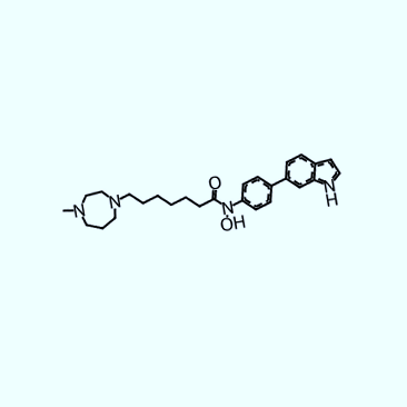 CN1CCCN(CCCCCCC(=O)N(O)c2ccc(-c3ccc4cc[nH]c4c3)cc2)CC1